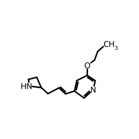 CCCOc1cncc(C=CCC2CCN2)c1